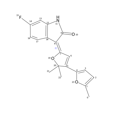 Cc1ccc(C2=C/C(=C3\C(=O)Nc4cc(F)ccc43)OC2(C)C)o1